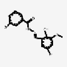 COc1cc(Br)cc(C=NNC(=O)c2cccc(Br)c2)c1O